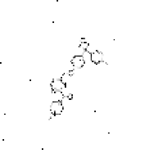 Cc1ccc(C2(c3ccc(OCc4ccnc(C(=O)N5CCN(C)CC5)n4)cc3)COC2)cc1